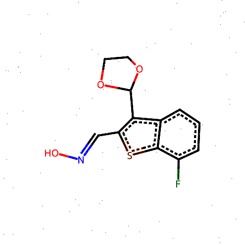 ON=Cc1sc2c(F)cccc2c1C1OCCO1